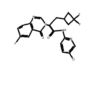 O=C(Nc1ccc(Cl)cn1)C(CC1CC(F)(F)C1)n1cnc2ccc(F)cc2c1=O